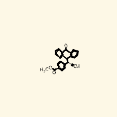 C#C[C@H](c1ccc(C(=O)OC)cc1)C1c2ccccc2C(=O)c2ccccc21